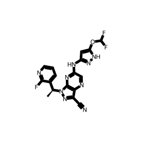 C[C@@H](c1cccnc1F)n1nc(C#N)c2ncc(Nc3cc(OC(F)F)[nH]n3)nc21